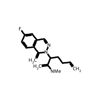 C=CCCC(C(=C)NC)N1N=Cc2cc(F)ccc2C1=C